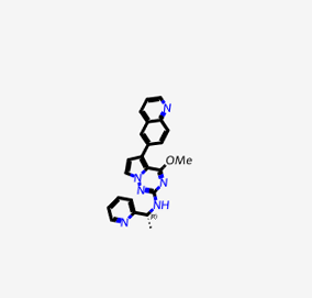 COc1nc(N[C@H](C)c2ccccn2)nn2ccc(-c3ccc4ncccc4c3)c12